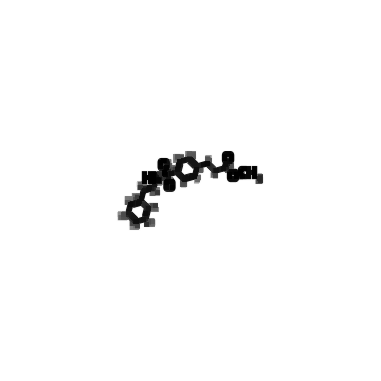 COC(=O)CCc1ccc(S(=O)(=O)NC=Cc2ccccc2)cc1